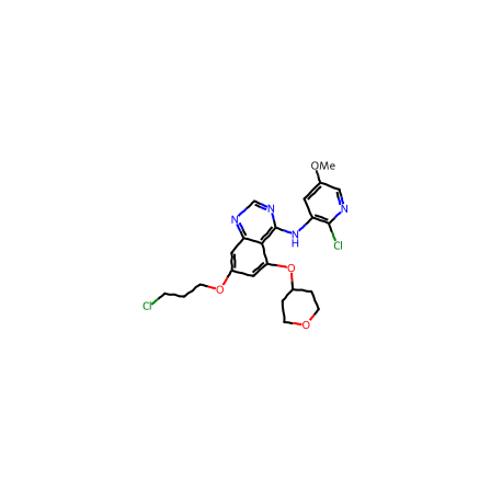 COc1cnc(Cl)c(Nc2ncnc3cc(OCCCCl)cc(OC4CCOCC4)c23)c1